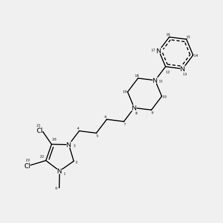 CN1CN(CCCCN2CCN(c3ncccn3)CC2)C(Cl)=C1Cl